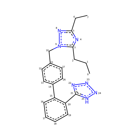 CCCc1nc(CC)nn1Cc1ccc(-c2ccccc2-c2nnn[nH]2)cc1